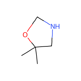 CC1(C)CNCO1